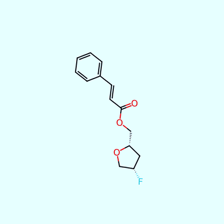 O=C(/C=C/c1ccccc1)OC[C@@H]1C[C@H](F)CO1